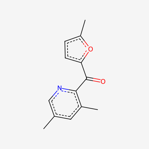 Cc1cnc(C(=O)c2ccc(C)o2)c(C)c1